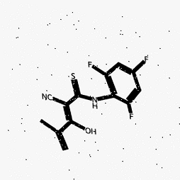 C=C(C)C(O)=C(C#N)C(=S)Nc1c(F)cc(F)cc1F